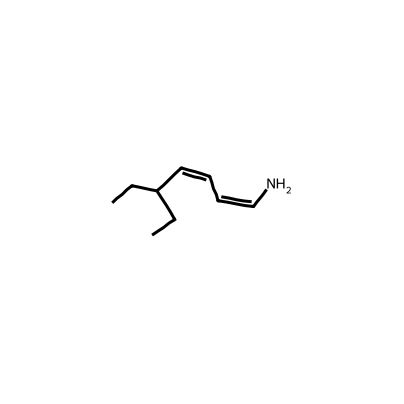 CCC(/C=C\C=C/N)CC